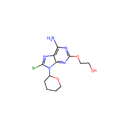 Nc1nc(OCCO)nc2c1nc(Br)n2C1CCCCO1